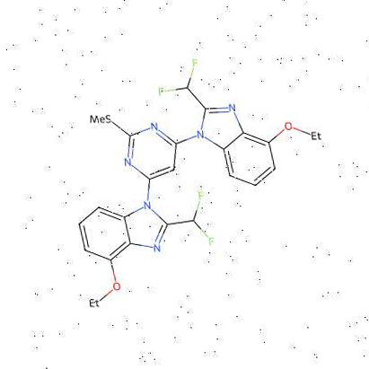 CCOc1cccc2c1nc(C(F)F)n2-c1cc(-n2c(C(F)F)nc3c(OCC)cccc32)nc(SC)n1